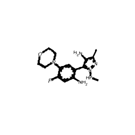 CPn1nc(C)c(N)c1-c1cc(N2CCOCC2)c(F)cc1N